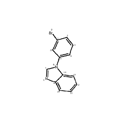 Brc1cccc(-n2cnc3c[c]ccc32)c1